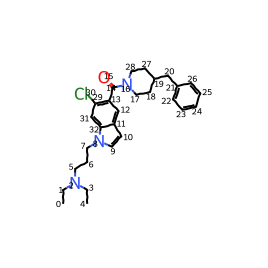 CCN(CC)CCCn1ccc2cc(C(=O)N3CCC(Cc4ccccc4)CC3)c(Cl)cc21